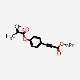 C=C(C)C(=O)Oc1ccc(C#CC(=O)OCCC)cc1